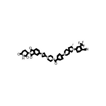 C[C@H]1CC2(CCN(c3ccc(C(=O)N4CCN(C5CN(c6ccc7c(c6)C(=O)N(C6CCC(=O)NC6=O)C7=O)C5)CC4)cc3)CC2)CN1c1ccc(C#N)c(C(F)(F)F)c1